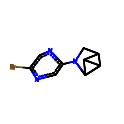 Brc1cnc(N2CC3C4C3C42)cn1